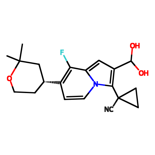 CC1(C)C[C@H](c2ccn3c(C4(C#N)CC4)c(C(O)O)cc3c2F)CCO1